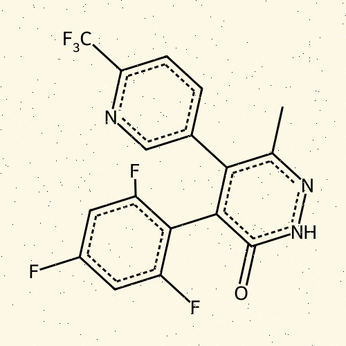 Cc1n[nH]c(=O)c(-c2c(F)cc(F)cc2F)c1-c1ccc(C(F)(F)F)nc1